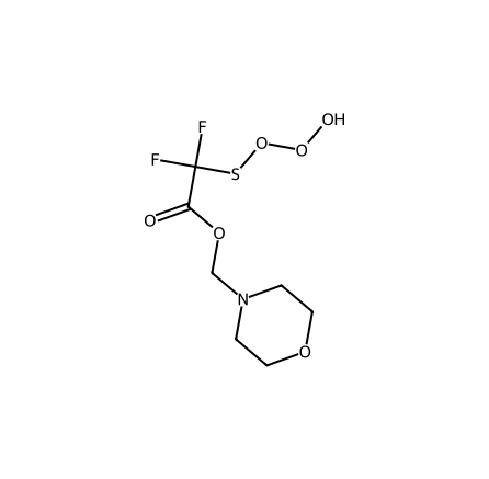 O=C(OCN1CCOCC1)C(F)(F)SOOO